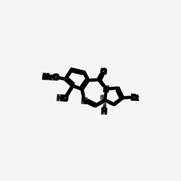 CCC1=CN2C(=O)c3ccc(OC)c(O)c3N=C[C@@H]2C1